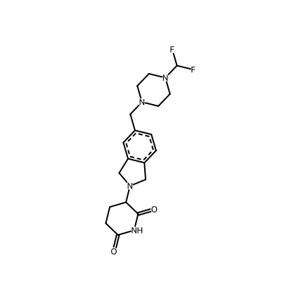 O=C1CCC(N2Cc3ccc(CN4CCN(C(F)F)CC4)cc3C2)C(=O)N1